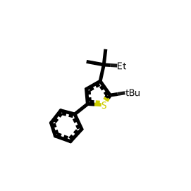 CCC(C)(C)c1cc(-c2ccccc2)sc1C(C)(C)C